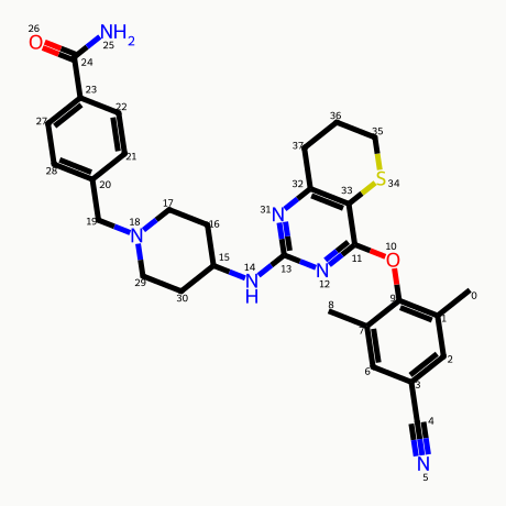 Cc1cc(C#N)cc(C)c1Oc1nc(NC2CCN(Cc3ccc(C(N)=O)cc3)CC2)nc2c1SCCC2